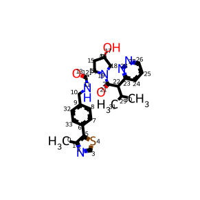 Cc1ncsc1-c1ccc(CNC(=O)[C@@H]2C[C@@H](O)CN2C(=O)C(c2cccnn2)C(C)C)cc1